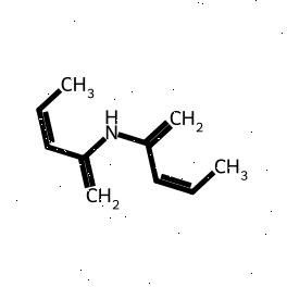 C=C(/C=C\C)NC(=C)/C=C\C